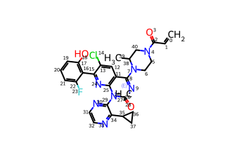 C=CC(=O)N1CCN(/C(=N/C)c2cc(Cl)c(-c3c(O)cccc3F)nc2N(C=O)c2nccnc2C2CC2)C(C)C1